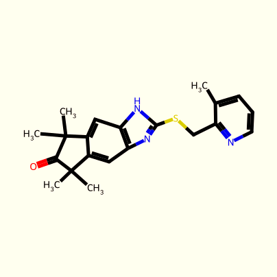 Cc1cccnc1CSc1nc2cc3c(cc2[nH]1)C(C)(C)C(=O)C3(C)C